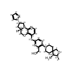 C[C@@H]1OCC2(CCN(c3ncc(Sc4ccnc5c4OC[C@@H]4C[C@H](n6cccn6)CN54)nc3CO)CC2)[C@@H]1N